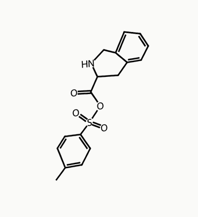 Cc1ccc(S(=O)(=O)OC(=O)C2Cc3ccccc3CN2)cc1